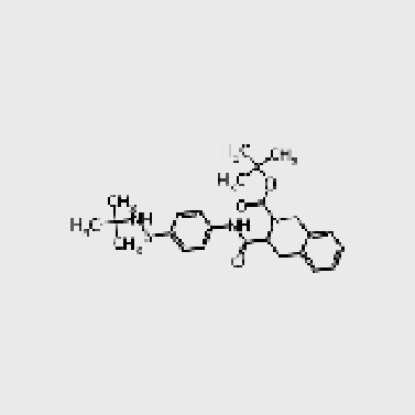 CC(C)(C)NSc1ccc(NC(=O)C2Cc3ccccc3CN2C(=O)OC(C)(C)C)cc1